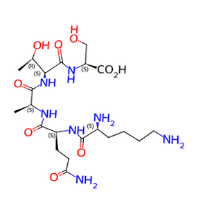 C[C@H](NC(=O)[C@H](CCC(N)=O)NC(=O)[C@@H](N)CCCCN)C(=O)N[C@H](C(=O)N[C@@H](CO)C(=O)O)[C@@H](C)O